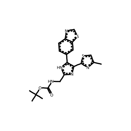 Cc1csc(-c2nc(CNC(=O)OC(C)(C)C)[nH]c2-c2ccc3ncsc3c2)n1